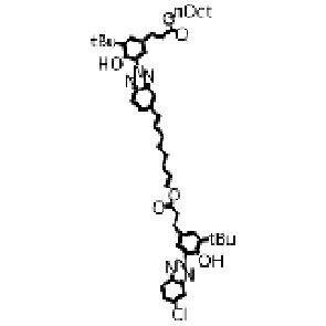 CCCCCCCCOC(=O)CCc1cc(-n2nc3ccc(CCCCCCCCOC(=O)CCc4cc(-n5nc6ccc(Cl)cc6n5)c(O)c(C(C)(C)C)c4)cc3n2)c(O)c(C(C)(C)C)c1